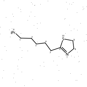 CC(C)CCCCCC1=NC[CH]S1